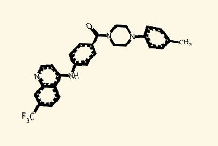 Cc1ccc(N2CCN(C(=O)c3ccc(Nc4ccnc5cc(C(F)(F)F)ccc45)cc3)CC2)cc1